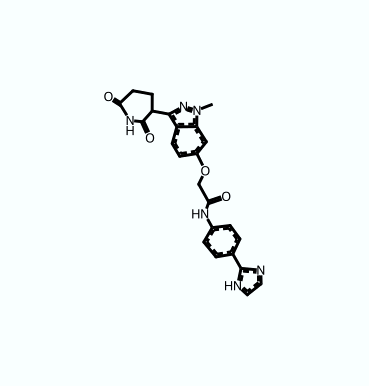 Cn1nc(C2CCC(=O)NC2=O)c2ccc(OCC(=O)Nc3ccc(-c4ncc[nH]4)cc3)cc21